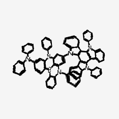 c1ccc(N(c2ccccc2)c2ccc3c(c2)N(c2ccccc2)c2cc(-n4c5ccccc5c5c6c(c7ccccc7n6-c6ccccc6)c6c(c7ccccc7n6-c6ccccc6)c54)cc4c2B3c2ccccc2N4c2ccccc2)cc1